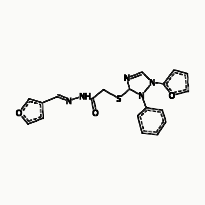 O=C(CSC1N=CN(c2ccco2)N1c1ccccc1)N/N=C/c1ccoc1